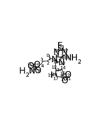 CC(CCCOS(N)(=O)=O)n1c(Cc2cc3c(cc2I)OCO3)nc2c(N)nc(F)nc21